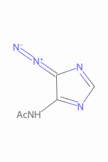 CC(=O)NC1=NC=NC1=[N+]=[N-]